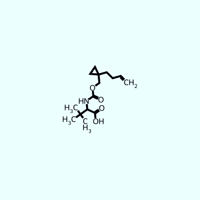 C=CCCC1(COC(=O)NC(C(=O)O)C(C)(C)C)CC1